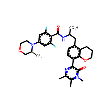 Cc1nc(-c2ccc(CC(NC(=O)c3c(F)cc(N4CCOC[C@@H]4C(F)(F)F)cc3F)C(=O)O)c3c2OCCC3)c(=O)n(C)c1C